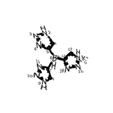 [K+].c1[nH]nnc1[BH-](c1c[nH]nn1)c1c[nH]nn1